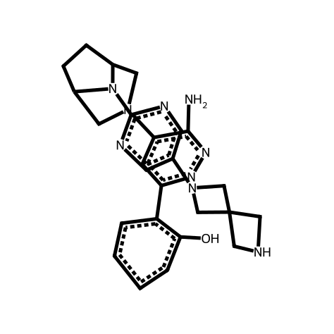 Nc1nnc(-c2ccccc2O)cc1N1CC2CCC(C1)N2c1ncc(N2CC3(CNC3)C2)cn1